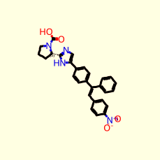 O=C(O)N1CCC[C@H]1c1ncc(-c2ccc(C(=Cc3ccc([N+](=O)[O-])cc3)c3ccccc3)cc2)[nH]1